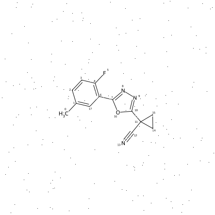 Cc1ccc(F)c(-c2nnc(C3(C#N)CC3)o2)c1